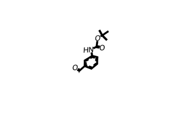 CC(C)(C)OC(=O)Nc1cccc([C]=O)c1